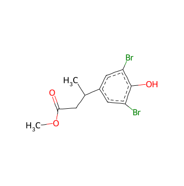 COC(=O)CC(C)c1cc(Br)c(O)c(Br)c1